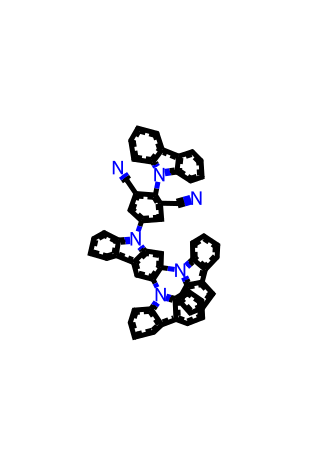 N#Cc1cc(-n2c3ccccc3c3cc(-n4c5ccccc5c5ccccc54)c(-n4c5ccccc5c5ccccc54)cc32)cc(C#N)c1-n1c2ccccc2c2ccccc21